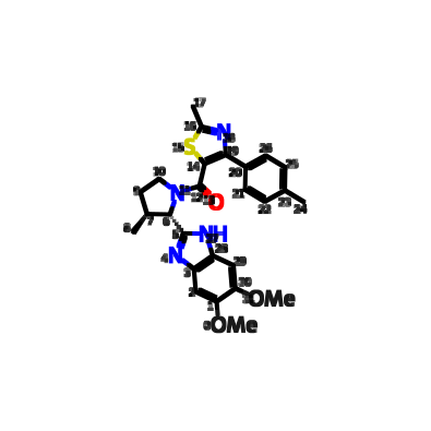 COc1cc2nc([C@@H]3[C@@H](C)CCN3C(=O)c3sc(C)nc3-c3ccc(C)cc3)[nH]c2cc1OC